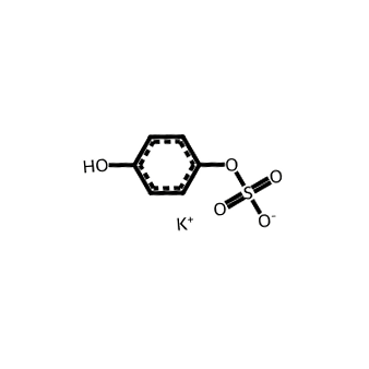 O=S(=O)([O-])Oc1ccc(O)cc1.[K+]